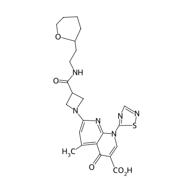 Cc1cc(N2CC(C(=O)NCCC3CCCCO3)C2)nc2c1c(=O)c(C(=O)O)cn2-c1ncns1